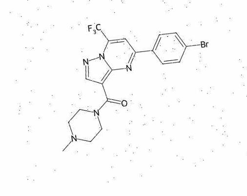 CN1CCN(C(=O)c2cnn3c(C(F)(F)F)cc(-c4ccc(Br)cc4)nc23)CC1